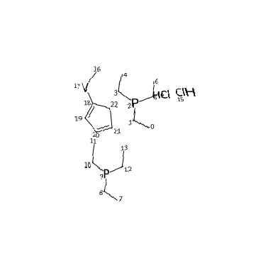 CCP(CC)CC.CCP(CC)CC.Cl.Cl.[CH3][V][C]1=CC=CC1